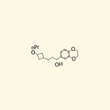 CCCOC1CC(CC[C@@H](O)c2ccc3c(c2)OCCO3)C1